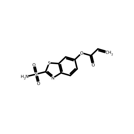 C=CC(=O)Oc1ccc2nc(S(N)(=O)=O)sc2c1